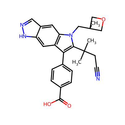 CC1(Cn2c(C(C)(C)CC#N)c(-c3ccc(C(=O)O)cc3)c3cc4[nH]ncc4cc32)COC1